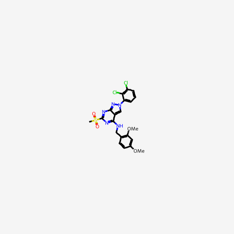 COc1ccc(CNc2nc(S(C)(=O)=O)nc3nn(-c4cccc(Cl)c4Cl)cc23)c(OC)c1